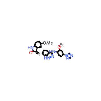 CCOc1cc(-n2cncn2)ccc1Nc1n[nH]c2cc([C@@H]3C[C@@]34C(=O)Nc3ccc(OC)cc34)ccc12